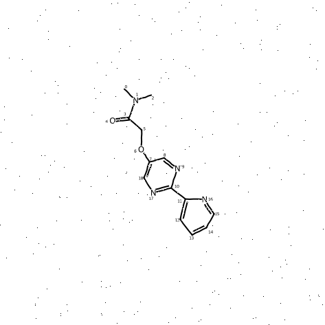 CN(C)C(=O)COc1cnc(-c2ccccn2)nc1